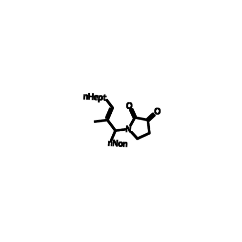 CCCCCCCC=C(C)C(CCCCCCCCC)N1CCC(=O)C1=O